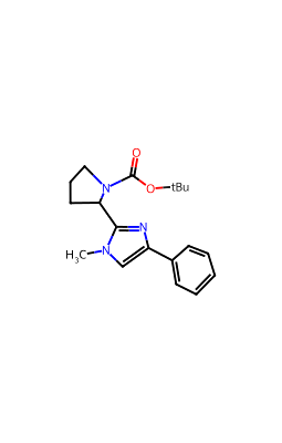 Cn1cc(-c2ccccc2)nc1C1CCCN1C(=O)OC(C)(C)C